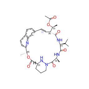 CC(=O)O[C@@H](C)[C@H]1/C=C/c2ccc3ccc(nc3c2)[C@@H](C)OC(=O)[C@@H]2CCCN(N2)C(=O)[C@H](C)NC(=O)[C@H](C(C)C)NC1=O